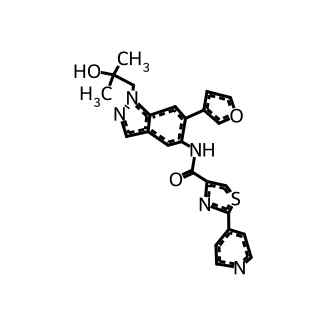 CC(C)(O)Cn1ncc2cc(NC(=O)c3csc(-c4ccncc4)n3)c(-c3ccoc3)cc21